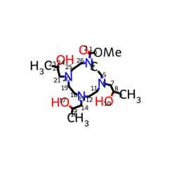 COC(=O)N1CCN(CC(C)O)CCN(CC(C)O)CCN(CC(C)O)CC1